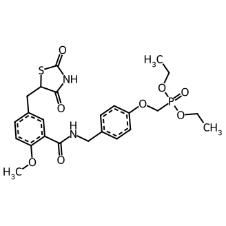 CCOP(=O)(COc1ccc(CNC(=O)c2cc(CC3SC(=O)NC3=O)ccc2OC)cc1)OCC